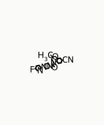 CC1CN(C(=O)N2CCN(c3ccc(F)cn3)CC2)c2ccc(C#N)cc2O1